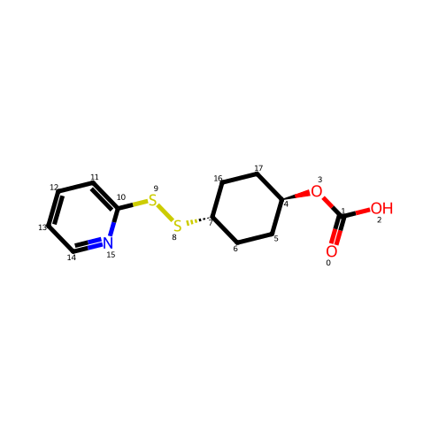 O=C(O)O[C@H]1CC[C@H](SSc2ccccn2)CC1